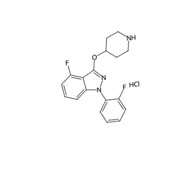 Cl.Fc1ccccc1-n1nc(OC2CCNCC2)c2c(F)cccc21